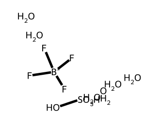 F[B-](F)(F)F.O.O.O.O.O.O.O=S(=O)(O)O